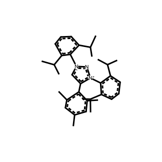 Cc1cc(C)c(-c2cn(-c3c(C(C)C)cccc3C(C)C)n[n+]2-c2c(C(C)C)cccc2C(C)C)c(C)c1